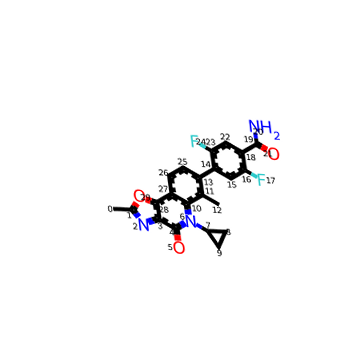 Cc1nc2c(=O)n(C3CC3)c3c(C)c(-c4cc(F)c(C(N)=O)cc4F)ccc3c2o1